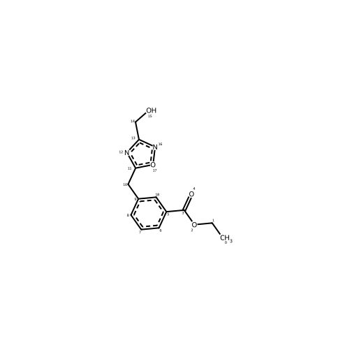 CCOC(=O)c1cccc(Cc2nc(CO)no2)c1